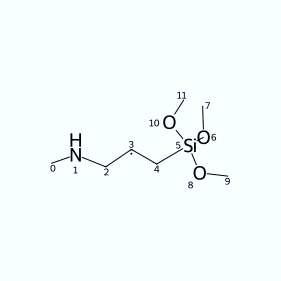 CNC[CH]C[Si](OC)(OC)OC